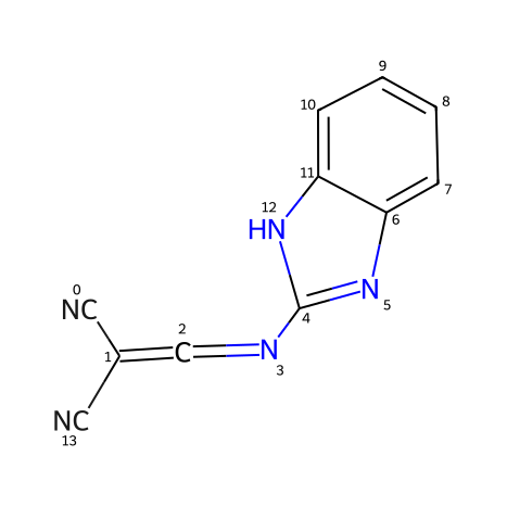 N#CC(=C=Nc1nc2ccccc2[nH]1)C#N